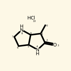 CC1C(=O)NC2CCNC21.Cl